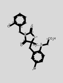 CC1(Cc2cc(Br)ccc2OCC(=O)O)SC(=O)N(Cc2ccccc2Cl)C1=O